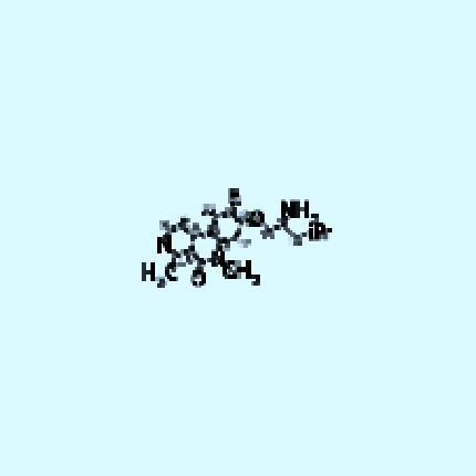 Cc1nccc2c1c(=O)n(C)c1cc(OCC(N)CC(C)C)c(F)cc21